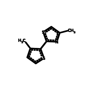 Cc1csc(-c2sccc2C)n1